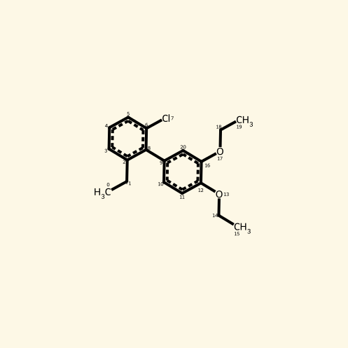 C[CH]c1cccc(Cl)c1-c1ccc(OCC)c(OCC)c1